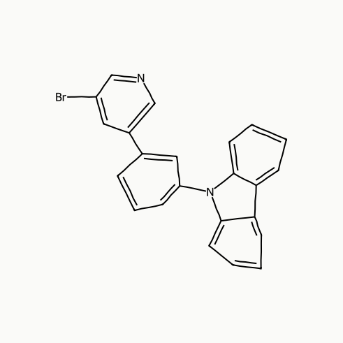 Brc1cncc(-c2cccc(-n3c4ccccc4c4ccccc43)c2)c1